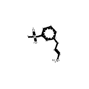 CS(=O)(=O)c1cccc(C/C=C/N)c1